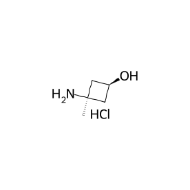 C[C@]1(N)C[C@@H](O)C1.Cl